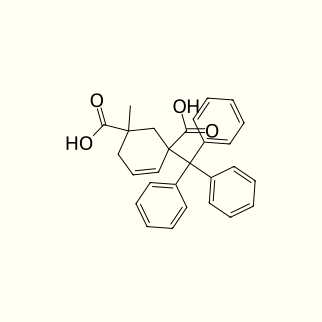 CC1(C(=O)O)CC=CC(C(=O)O)(C(c2ccccc2)(c2ccccc2)c2ccccc2)C1